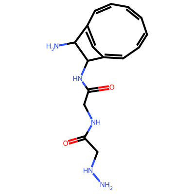 NNCC(=O)NCC(=O)NC1c2cccccccc(c2)C1N